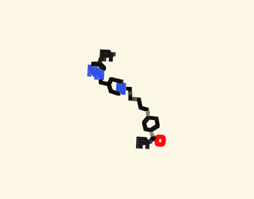 CC(C)c1cnn(CC2CCN(CCCCC[C@H]3CC[C@@H](C(=O)C(C)C)CC3)CC2)c1